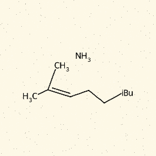 CCC(C)CCC=C(C)C.N